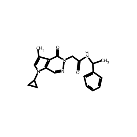 Cc1cn(C2CC2)c2cnn(CC(=O)NC(C)c3ccccc3)c(=O)c12